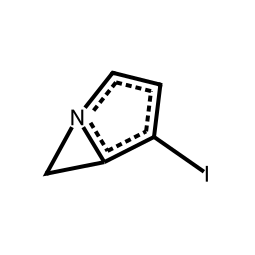 Ic1ccn2c1C2